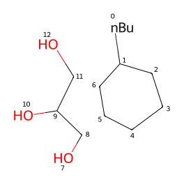 CCCCC1CCCCC1.OCC(O)CO